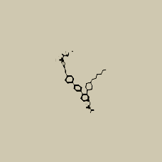 C=C(C)C(=O)Oc1ccc(-c2ccc(-c3ccc(CCCOC(=O)C(=C)COC)cc3)cc2)c(C2CCC(CCCCCC)CC2)c1